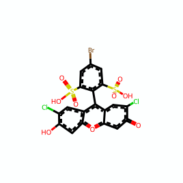 O=c1cc2oc3cc(O)c(Cl)cc3c(-c3c(S(=O)(=O)O)cc(Br)cc3S(=O)(=O)O)c-2cc1Cl